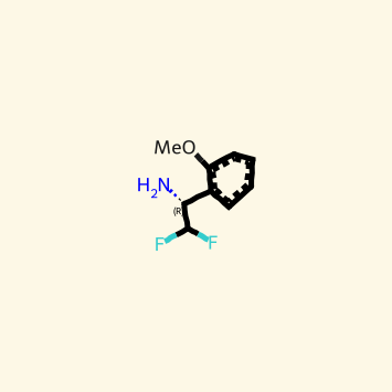 COc1ccccc1[C@@H](N)C(F)F